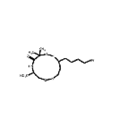 CC(C)CCCCC1CCSSCC(C(=O)O)NC(=O)C(C)(C)SS1